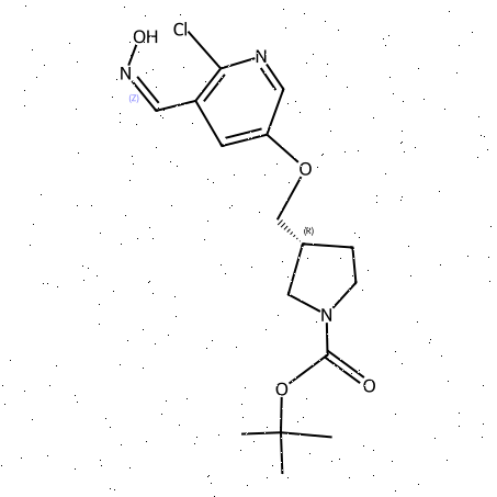 CC(C)(C)OC(=O)N1CC[C@@H](COc2cnc(Cl)c(/C=N\O)c2)C1